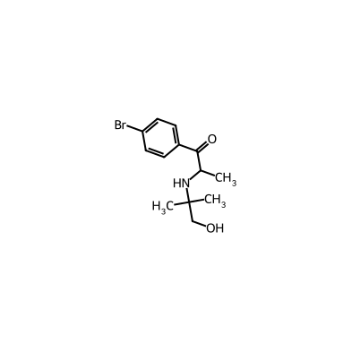 CC(NC(C)(C)CO)C(=O)c1ccc(Br)cc1